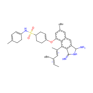 C/C=C(\C=C(/C)c1c2c(cc3cc(CCCC)cc(OC4=CCC(S(=O)(=O)NC5=CC=C(C)CC5)CC4)c13)C(N)NC2=N)CCCC